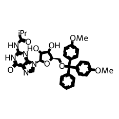 COc1ccc(C(OC[C@H]2O[C@@H](n3cnc4c(=O)[nH]c(NC(=O)C(C)C)nc43)C(O)C2O)(c2ccccc2)c2ccc(OC)cc2)cc1